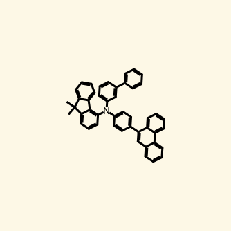 CC1(C)c2ccccc2-c2c(N(c3ccc(-c4cc5ccccc5c5ccccc45)cc3)c3cccc(-c4ccccc4)c3)cccc21